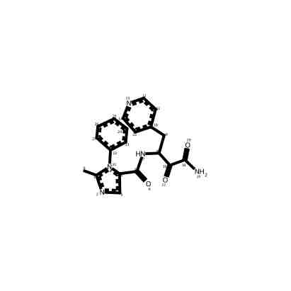 Cc1ncc(C(=O)NC(Cc2ccncc2)C(=O)C(N)=O)n1-c1ccccc1